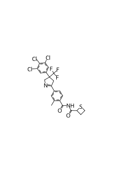 Cc1cc(C2=NCC(c3cc(Cl)c(Cl)c(Cl)c3)(C(F)(F)F)C2)ccc1C(=O)NC(=O)C1CCS1